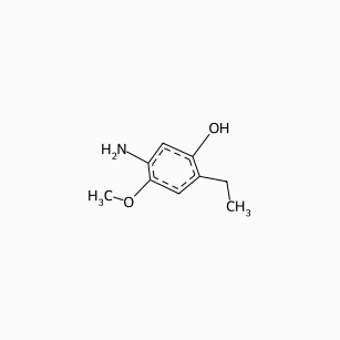 CCc1cc(OC)c(N)cc1O